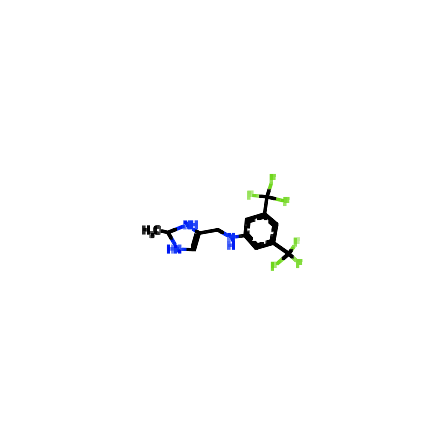 CC1NC=C(CNc2cc(C(F)(F)F)cc(C(F)(F)F)c2)N1